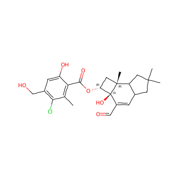 Cc1c(Cl)c(CO)cc(O)c1C(=O)O[C@@H]1C[C@]2(C)C3CC(C)(C)CC3C=C(C=O)[C@]12O